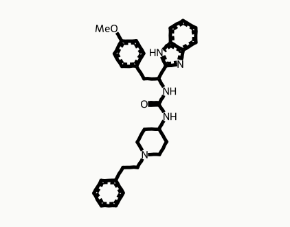 COc1ccc(CC(NC(=O)NC2CCN(CCc3ccccc3)CC2)c2nc3ccccc3[nH]2)cc1